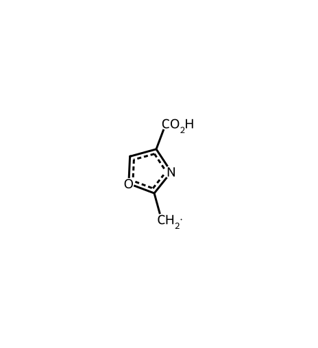 [CH2]c1nc(C(=O)O)co1